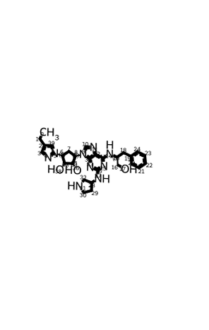 CCc1cnn([C@H]2C[C@@H](n3cnc4c(N[C@H](CO)Cc5ccccc5)nc(NC5CCNC5)nc43)[C@H](O)[C@@H]2O)c1